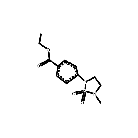 CCOC(=O)c1ccc(N2CCN(C)S2(=O)=O)cc1